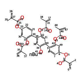 C=C(C)C(=O)Oc1ccc(-c2cc(OC(=O)C(=C)C)c(-c3ccc(OC(=O)C(=C)C)cc3OC(=O)C(=C)C)cc2OCCCC)c(OC(=O)C(=C)C)c1